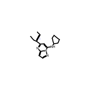 C/C=C(\CC)c1cc(NC2CCCC2)n2nccc2n1